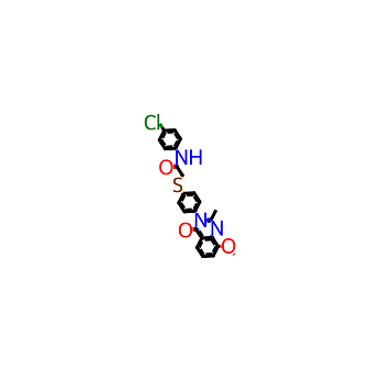 COc1cccc2c(=O)n(-c3ccc(SCC(=O)Nc4ccc(Cl)cc4)cc3)c(C)nc12